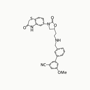 COc1cc(C#N)cc(-c2cccc(CNCCC3CN(c4ccc5c(c4)NC(=O)CS5)C(=O)O3)c2)c1